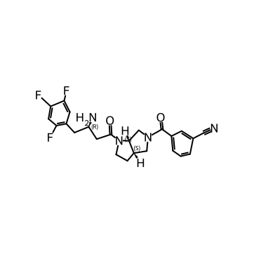 N#Cc1cccc(C(=O)N2C[C@@H]3CCN(C(=O)C[C@H](N)Cc4cc(F)c(F)cc4F)[C@@H]3C2)c1